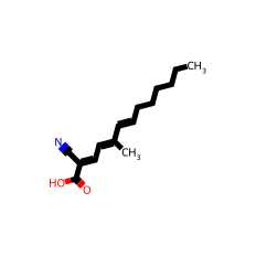 CCCCCC/C=C/C(C)=C/C=C(\C#N)C(=O)O